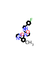 Cc1ccc(-c2ncccn2)c(C(=O)N2CCCOC2Cn2ccc(-c3ccc(F)cc3)n2)c1